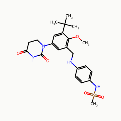 COc1c(CNc2ccc(NS(C)(=O)=O)cc2)cc(N2CCC(=O)NC2=O)cc1C(C)(C)C